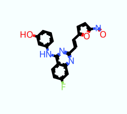 O=Nc1ccc(/C=C/c2nc(Nc3cccc(O)c3)c3ccc(F)cc3n2)o1